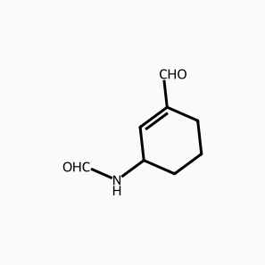 O=CNC1C=C(C=O)CCC1